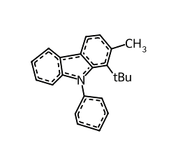 Cc1ccc2c3ccccc3n(-c3ccccc3)c2c1C(C)(C)C